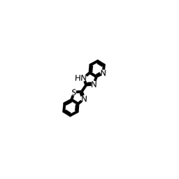 c1ccc2sc(-c3nc4ncccc4[nH]3)nc2c1